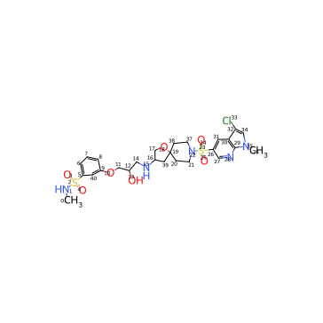 CNS(=O)(=O)c1cccc(OCC(O)CNC2COC3(CCN(S(=O)(=O)c4cnc5c(c4)c(Cl)cn5C)CC3)C2)c1